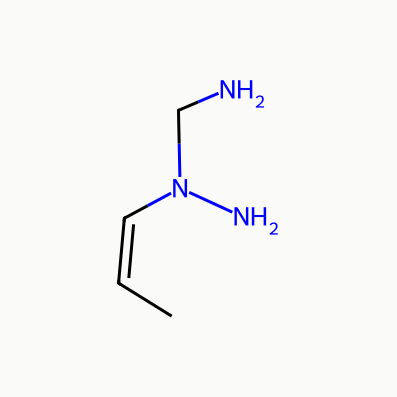 C/C=C\N(N)CN